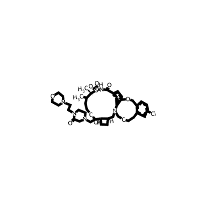 CC1CCC[C@](O)(CN2CCN(CCN3CCOCC3)C(=O)C2)[C@@H]2CC[C@H]2CN2CCCCc3cc(Cl)ccc3COc3ccc(cc32)C(=O)NS(=O)(=O)[C@@H]1C